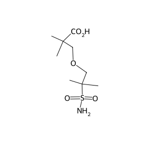 CC(C)(COCC(C)(C)S(N)(=O)=O)C(=O)O